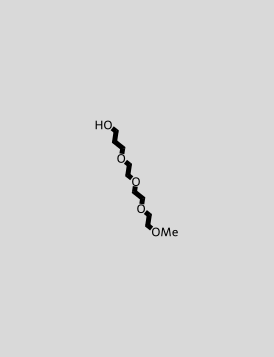 COCCOCCOCCOCCCO